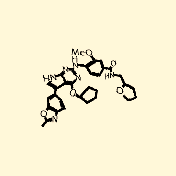 COc1cc(C(=O)NCC2CCCO2)ccc1Nc1nc(OC2CCCC2)c2c(-c3ccc4nc(C)oc4c3)c[nH]c2n1